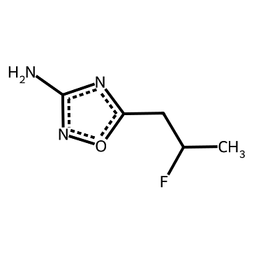 CC(F)Cc1nc(N)no1